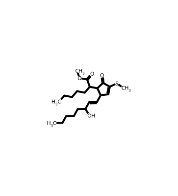 CCCCCC(O)/C=C/C1C=C(SC)C(=O)C1C(CCCCC)C(=O)OC